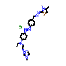 CCN(CC[n+]1ccn(C)c1)c1ccc(/N=N/c2ccc(/C=N/N=c3\scc(C)n3C)cc2)cc1.[Br-]